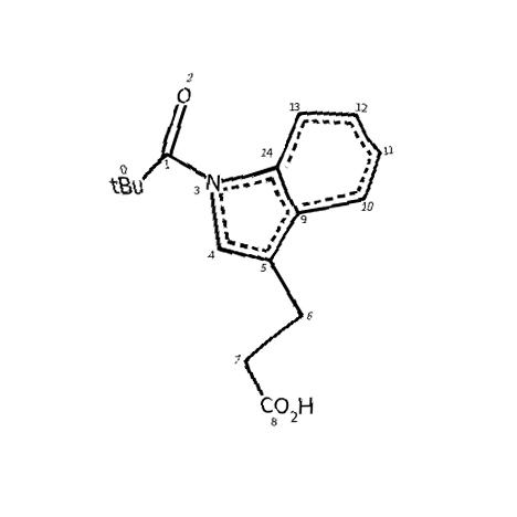 CC(C)(C)C(=O)n1cc(CCC(=O)O)c2ccccc21